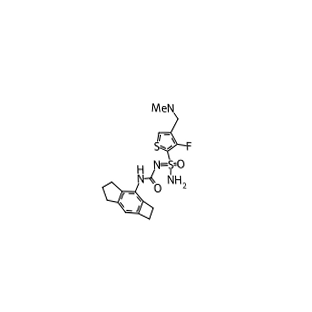 CNCc1csc(S(N)(=O)=NC(=O)Nc2c3c(cc4c2CC4)CCC3)c1F